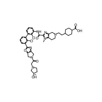 Cn1c(C(=O)Nc2cccc(-c3cccc(-c4nc5c(o4)CN(C(=O)CN4CC[C@@H](O)C4)C5)c3Cl)c2Cl)nc2c1CCN(CCC1CCC(C(=O)O)CC1)C2